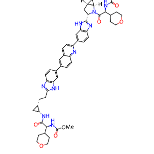 COC(=O)N[C@H](C(=O)N[C@@H]1C[C@@H]1CCc1nc2ccc(-c3ccc4nc(-c5ccc6nc([C@@H]7C[C@H]8C[C@H]8N7C(=O)[C@@H](NC(=O)OC)C7CCOCC7)[nH]c6c5)ccc4c3)cc2[nH]1)C1CCOCC1